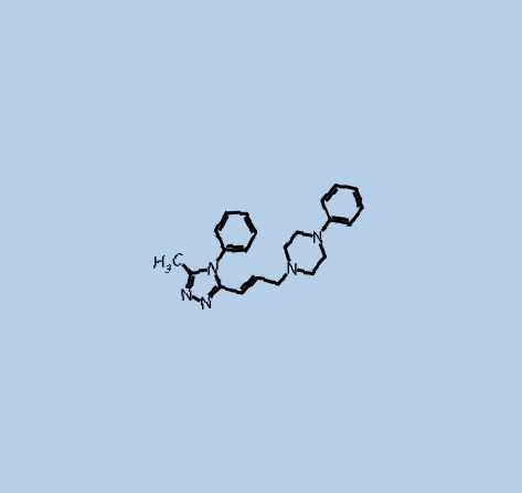 Cc1nnc(/C=C/CN2CCN(c3ccccc3)CC2)n1-c1ccccc1